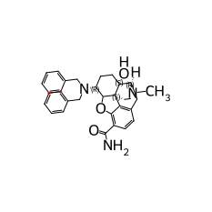 CN1CC[C@]23c4c5ccc(C(N)=O)c4OC2[C@H](N(Cc2ccccc2)Cc2ccccc2)CC[C@@]3(O)[C@H]1C5